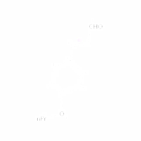 CCCOc1ccc(/C=C/[C]=O)cc1